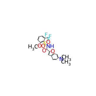 COc1cccc(C(F)(F)F)c1S(=O)(=O)NC(=O)c1cc2ccc(N(C)C)cc2o1